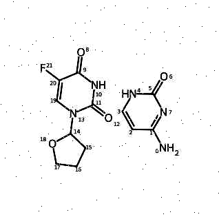 Nc1cc[nH]c(=O)n1.O=c1[nH]c(=O)n(C2CCCO2)cc1F